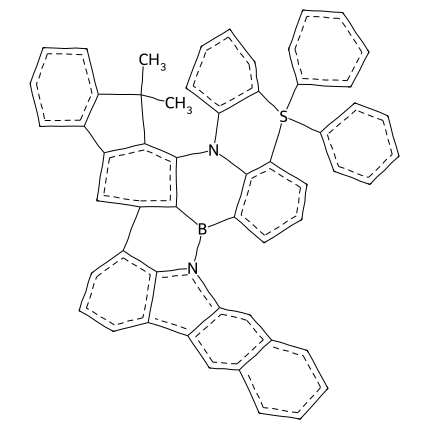 CC1(C)c2ccccc2-c2cc3c4c(c21)N1c2ccccc2S(c2ccccc2)(c2ccccc2)c2cccc(c21)B4n1c2cc4ccccc4cc2c2cccc-3c21